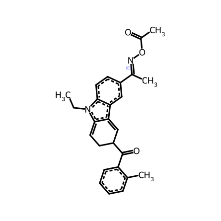 CCn1c2c(c3cc(/C(C)=N/OC(C)=O)ccc31)=CC(C(=O)c1ccccc1C)CC=2